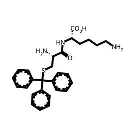 NCCCC[C@H](NC(=O)[C@@H](N)CSC(c1ccccc1)(c1ccccc1)c1ccccc1)C(=O)O